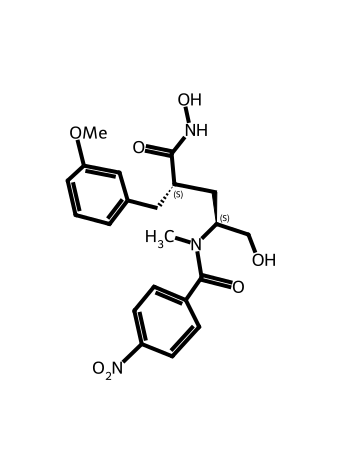 COc1cccc(C[C@@H](C[C@@H](CO)N(C)C(=O)c2ccc([N+](=O)[O-])cc2)C(=O)NO)c1